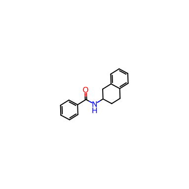 O=C(NC1CCc2ccccc2C1)c1ccccc1